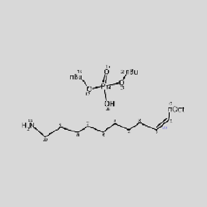 CCCCCCCC/C=C\CCCCCCCCN.CCCCOP(=O)(O)OCCCC